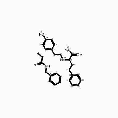 CCC(=O)NCc1cc[c]cc1.NC(=O)[C@@H](CCc1ccccc1)NCCc1ccc(O)cc1